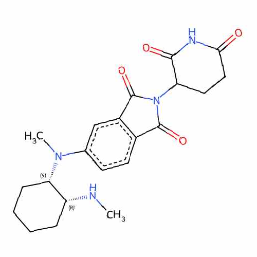 CN[C@@H]1CCCC[C@@H]1N(C)c1ccc2c(c1)C(=O)N(C1CCC(=O)NC1=O)C2=O